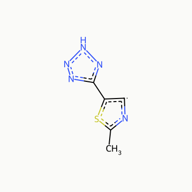 Cc1n[c]c(-c2nn[nH]n2)s1